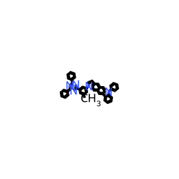 Cc1cc(-c2nc(-c3ccccc3)nc(-c3ccccc3)n2)cc(-n2ccc3cc4cc5c(cc4cc32)c2ccccc2n5-c2ccccc2)c1